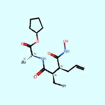 C=CC[C@H](C(=O)NO)[C@@H](CC(C)C)C(=O)N[C@H](C(=O)OC1CCCC1)[C@@H](C)CC